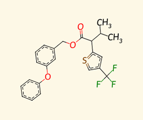 CC(C)C(C(=O)OCc1cccc(Oc2ccccc2)c1)c1cc(C(F)(F)F)cs1